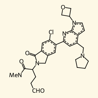 CNC(=O)C(CCC=O)N1Cc2cc(-c3cc(CN4CCCC4)c4ccn(C5COC5)c4n3)c(Cl)cc2C1=O